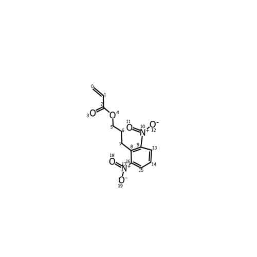 C=CC(=O)OCCCc1c([N+](=O)[O-])cccc1[N+](=O)[O-]